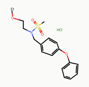 CCOCCN(Cc1ccc(Oc2ccccc2)cc1)S(C)(=O)=O.Cl